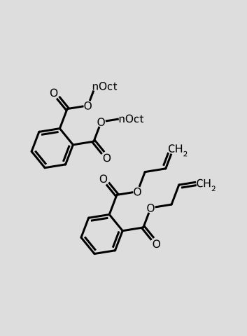 C=CCOC(=O)c1ccccc1C(=O)OCC=C.CCCCCCCCOC(=O)c1ccccc1C(=O)OCCCCCCCC